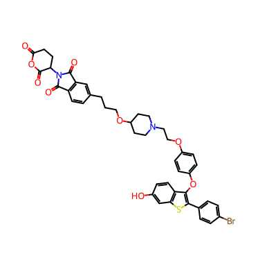 O=C1CCC(N2C(=O)c3ccc(CCCOC4CCN(CCOc5ccc(Oc6c(-c7ccc(Br)cc7)sc7cc(O)ccc67)cc5)CC4)cc3C2=O)C(=O)O1